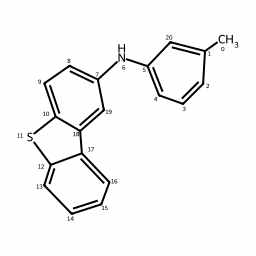 Cc1cccc(Nc2ccc3sc4ccccc4c3c2)c1